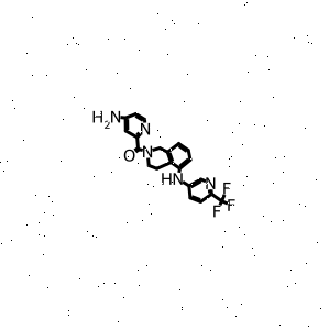 Nc1ccnc(C(=O)N2CCc3c(cccc3Nc3ccc(C(F)(F)F)nc3)C2)c1